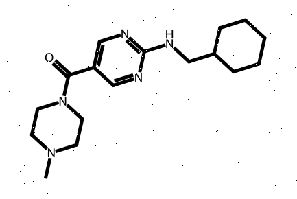 CN1CCN(C(=O)c2cnc(NCC3CCCCC3)nc2)CC1